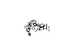 CC(C)Cc1sc(Nc2ncc(-c3cccs3)cc2C(=O)O)nc1-c1ccc(OCC(C)(C)F)cc1